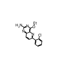 CCOc1nc(N)nc2ccc(-c3ccccc3Cl)nc12